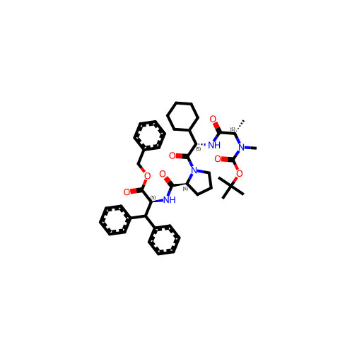 C[C@@H](C(=O)N[C@H](C(=O)N1CCC[C@H]1C(=O)N[C@H](C(=O)OCc1ccccc1)C(c1ccccc1)c1ccccc1)C1CCCCC1)N(C)C(=O)OC(C)(C)C